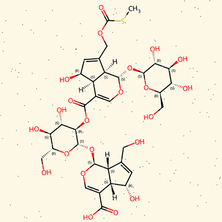 CSC(=O)OCC1=C[C@H](O)[C@@H]2C(C(=O)O[C@H]3[C@H](O[C@@H]4OC=C(C(=O)O)[C@@H]5[C@H]4C(CO)=C[C@@H]5O)O[C@H](CO)[C@@H](O)[C@@H]3O)=CO[C@@H](O[C@@H]3O[C@H](CO)[C@@H](O)[C@H](O)[C@H]3O)[C@H]12